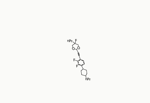 CCCC1CCC(c2ccc(C#CC3OCC(F)(CCC)CO3)c(F)c2F)CC1